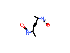 CC(C#CC(C)N=C=O)N=C=O